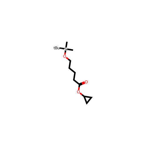 CC(C)(C)[Si](C)(C)OCCCCC(=O)OC1CC1